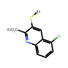 CCOC(=O)c1nc2cccc(Cl)c2cc1SCC